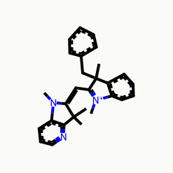 CN1C(=CC2=[N+](C)c3ccccc3C2(C)Cc2ccccc2)C(C)(C)c2ncccc21